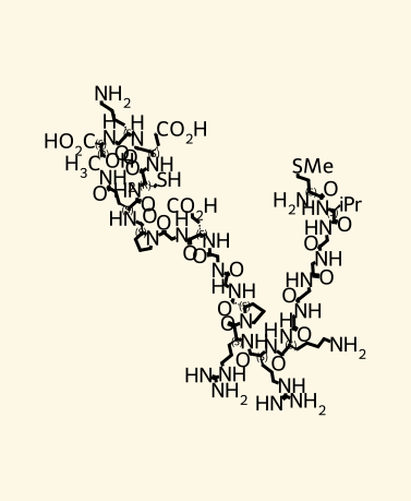 CSCC[C@H](N)C(=O)N[C@H](C(=O)NCC(=O)NCC(=O)NCC(=O)NCC(=O)N[C@@H](CCCCN)C(=O)N[C@@H](CCCNC(=N)N)C(=O)N[C@@H](CCCNC(=N)N)C(=O)N1CCC[C@H]1C(=O)NCC(=O)NCC(=O)N[C@@H](CCC(=O)O)C(=O)NCC(=O)N1CCC[C@H]1C(=O)N[C@@H](CCC(N)=O)C(=O)N[C@@H](CS)C(=O)N[C@@H](CCC(=O)O)C(=O)N[C@@H](CCCCN)C(=O)N[C@H](C(=O)O)[C@@H](C)O)C(C)C